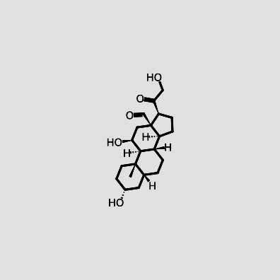 C[C@]12CC[C@@H](O)C[C@H]1CC[C@@H]1[C@@H]2[C@@H](O)C[C@]2(C=O)[C@@H](C(=O)CO)CC[C@@H]12